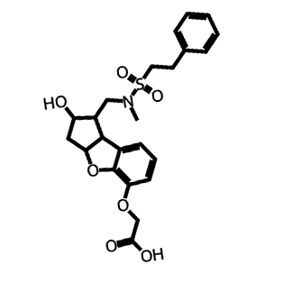 CN(CC1C(O)CC2Oc3c(OCC(=O)O)cccc3C21)S(=O)(=O)CCc1ccccc1